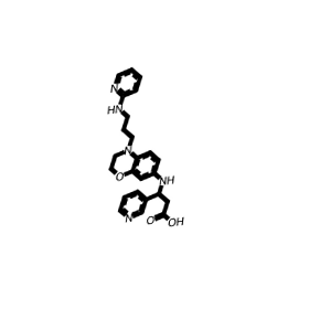 O=C(O)CC(Nc1ccc2c(c1)OCCN2CCCNc1ccccn1)c1cccnc1